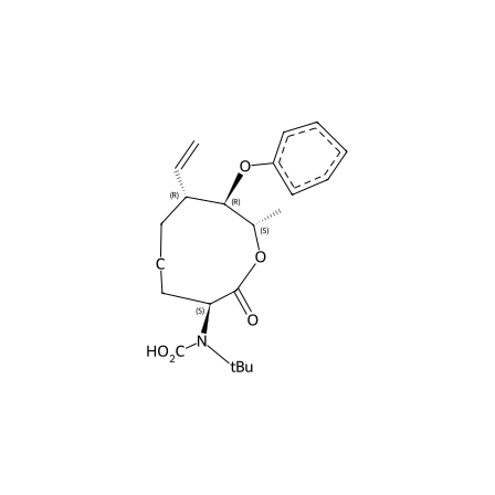 C=C[C@H]1CCC[C@H](N(C(=O)O)C(C)(C)C)C(=O)O[C@@H](C)[C@@H]1Oc1ccccc1